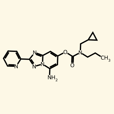 CCCN(CC1CC1)C(=O)Oc1cc(N)n2nc(-c3ccccn3)nc2c1